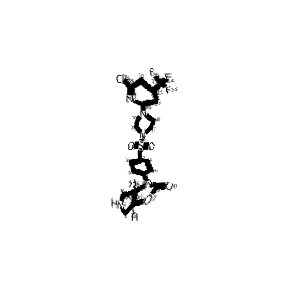 O=C1O[C@H]2CNC[C@H]2N1c1ccc(S(=O)(=O)N2CCN(c3cc(C(F)(F)F)cc(Cl)n3)CC2)cc1